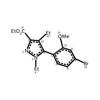 CCOC(=O)c1nn(CC)c(-c2ccc(Br)cc2OC)c1CC